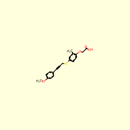 COc1ccc(C#CCSc2ccc(OCC(=O)O)c(C)c2)cc1